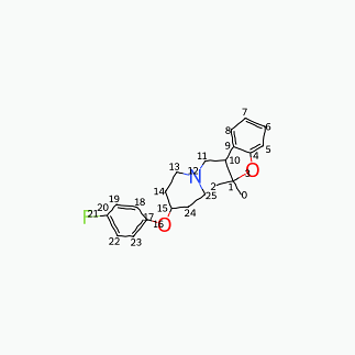 CC1(C)Oc2ccccc2C1CN1CCC(Oc2ccc(F)cc2)CC1